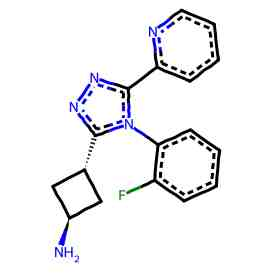 N[C@H]1C[C@H](c2nnc(-c3ccccn3)n2-c2ccccc2F)C1